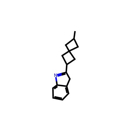 CC1CC2(C1)CC(C1=Nc3ccccc3C1)C2